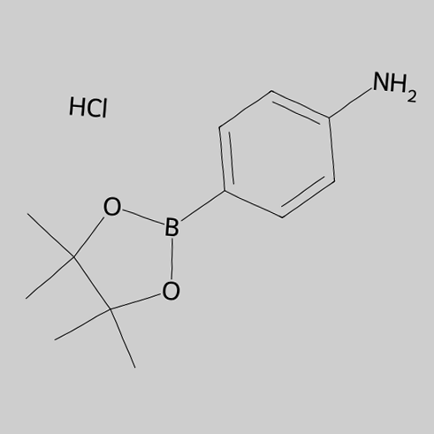 CC1(C)OB(c2ccc(N)cc2)OC1(C)C.Cl